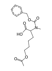 CC(=O)OCCCCC(C(=O)O)N(C)C(=O)OCc1ccccc1